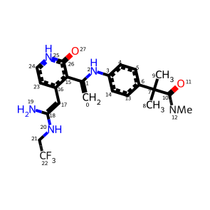 C=C(Nc1ccc(C(C)(C)C(=O)NC)cc1)c1c(/C=C(\N)NCC(F)(F)F)cc[nH]c1=O